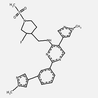 Cn1cc(-c2cccc(-c3ncc(-c4cnn(C)c4)c(NCC4CCN(S(C)(=O)=O)CC4F)n3)c2)cn1